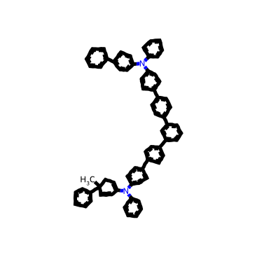 CC1(c2ccccc2)C=CC(N(c2ccccc2)c2ccc(-c3ccc(-c4cccc(-c5ccc(-c6ccc(N(c7ccccc7)c7ccc(-c8ccccc8)cc7)cc6)cc5)c4)cc3)cc2)=CC1